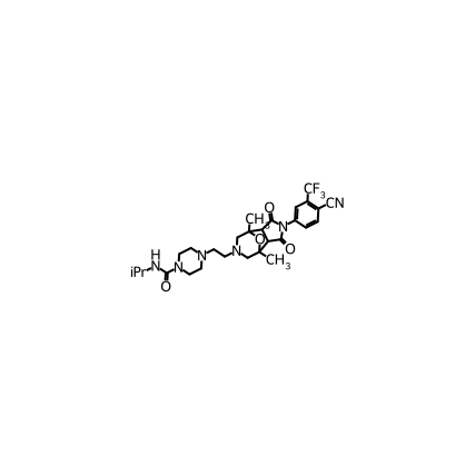 CC(C)NC(=O)N1CCN(CCN2CC3(C)OC(C)(C2)C2C(=O)N(c4ccc(C#N)c(C(F)(F)F)c4)C(=O)C23)CC1